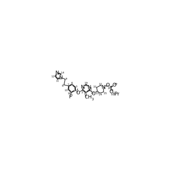 Cc1c(Oc2ccc(CCn3ccnc3)cc2F)ncnc1OC1CCN(OC(=O)OC(C)C)CC1